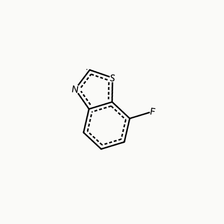 Fc1cccc2n[c]sc12